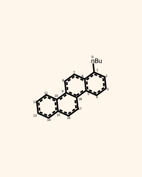 CCCCc1cccc2c1ccc1c3ccccc3ccc21